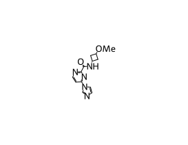 CO[C@H]1C[C@H](NC(=O)c2nccc(-n3ccnc3)n2)C1